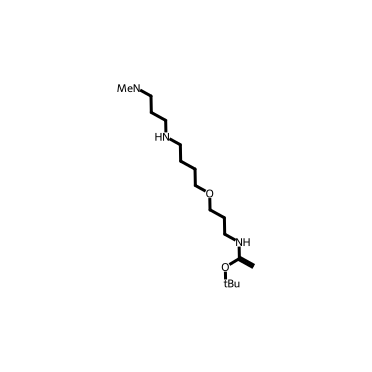 C=C(NCCCOCCCCNCCCNC)OC(C)(C)C